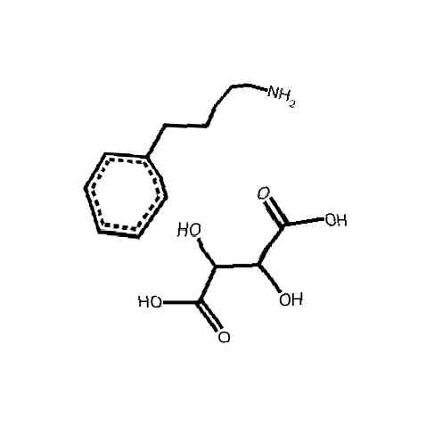 NCCCc1ccccc1.O=C(O)C(O)C(O)C(=O)O